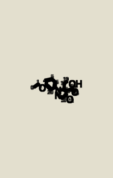 CCOc1cccc(-n2ncc(=O)c(C(=O)O)c2CC)c1